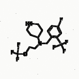 Fc1ccc(CN(CCOC(F)(F)F)C2CCNCC2)c(C(F)(F)F)c1